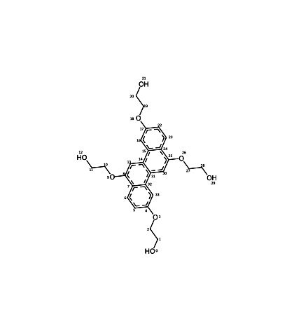 OCCOc1ccc2c(OCCO)cc3c4cc(OCCO)ccc4c(OCCO)cc3c2c1